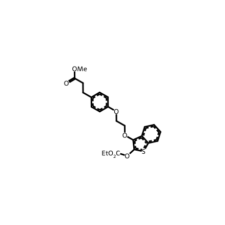 CCOC(=O)Oc1sc2ccccc2c1OCCOc1ccc(CCC(=O)OC)cc1